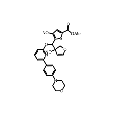 COC(=O)c1cc(C#N)c(C(Oc2cccc(-c3ccc(N4CCOCC4)cc3)n2)C2(C#N)C=COC2)s1